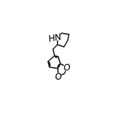 c1cc2c(cc1CC1CCCCN1)OCO2